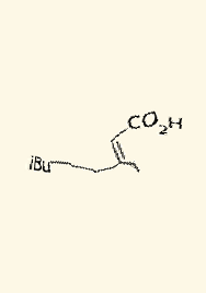 CCC(C)CCC(C)=CC(=O)O